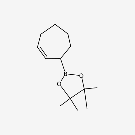 CC1(C)OB(C2C=CCCCC2)OC1(C)C